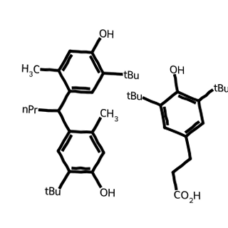 CC(C)(C)c1cc(CCC(=O)O)cc(C(C)(C)C)c1O.CCCC(c1cc(C(C)(C)C)c(O)cc1C)c1cc(C(C)(C)C)c(O)cc1C